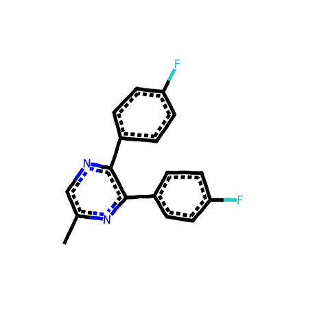 Cc1cnc(-c2ccc(F)cc2)c(-c2ccc(F)cc2)n1